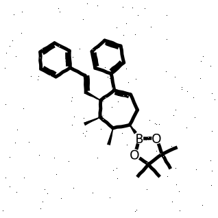 C[C@@H]1[C@H](C)[C@H](B2OC(C)(C)C(C)(C)O2)CC=C(c2ccccc2)[C@@H]1/C=C/c1ccccc1